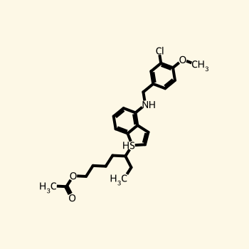 CCC(CCCCOC(C)=O)[SH]1C=Cc2c(NCc3ccc(OC)c(Cl)c3)cccc21